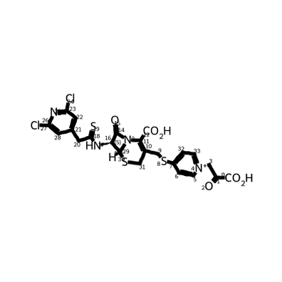 O=C(O)C(=O)C[n+]1ccc(SCC2=C(C(=O)O)N3C(=O)[C@H](NC(=S)Cc4cc(Cl)nc(Cl)c4)[C@H]3SC2)cc1